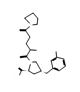 NC(CCC(=O)N1CCCC1)C(=O)N1C[C@@H](Cc2cccc(Cl)c2)C[C@H]1C(=O)O